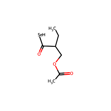 CCC(COC(C)=O)C(=O)[SeH]